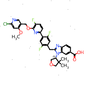 COc1cc(Cl)ncc1COc1nc(-c2cc(F)c(Cc3nc4ccc(C(=O)O)cc4n3[C@@H]3COCC3(C)C)cc2F)ccc1F